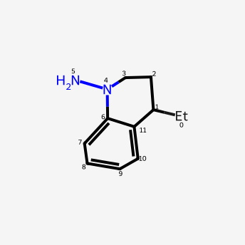 CCC1CCN(N)c2ccccc21